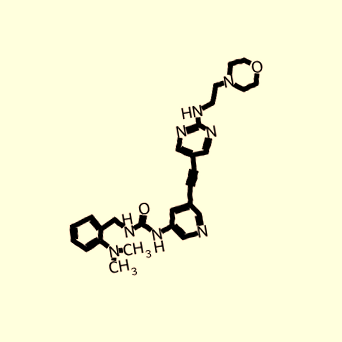 CN(C)c1ccccc1CNC(=O)Nc1cncc(C#Cc2cnc(NCCN3CCOCC3)nc2)c1